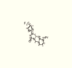 C[CH]Cn1cccc(CN2CCN(c3ncc(C(F)(F)F)cn3)CC2=O)c1=O